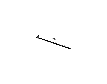 CCCCCCCCCCCCCCCCCCCCCCN(C)C.[CH2]CC